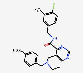 CC(=O)CN(Cc1ccc(C(=O)O)cc1)Cc1cncnc1C(=O)NCc1ccc(F)c(C)c1